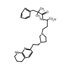 CC(C)(Cc1ccccc1)C(=O)NC(CCN1CC[C@@H](CCc2ccc3c(n2)NCCC3)C1)C(=O)O